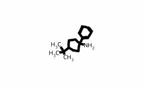 CC(C)(C)C1CCC(N)(c2cc[c]cc2)CC1